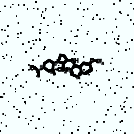 CC(C)N(C)[C@@H]1CC[C@H](N2CCC(Nc3ncnc4ccc(OC(F)(F)F)cc34)C2=O)[C@](C)(C(=O)O)C1